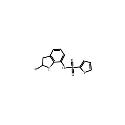 O=S(=O)(Nc1cccc2c1NC(S)C2)c1cccs1